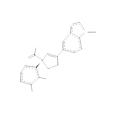 Cc1c(F)cccc1[C@@]1(C(=O)O)C=C(c2ccc3c(c2)ncn3C)CC1